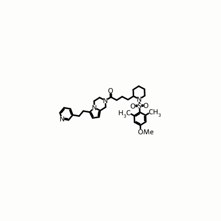 COc1cc(C)c(S(=O)(=O)N2CCCCC2CCCC(=O)N2CCn3c(CCc4cccnc4)ccc3C2)c(C)c1